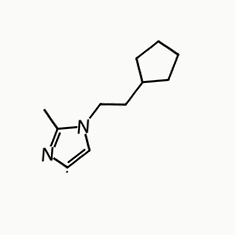 Cc1n[c]cn1CCC1CCCC1